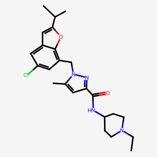 CCN1CCC(NC(=O)c2cc(C)n(Cc3cc(Cl)cc4cc(C(C)C)oc34)n2)CC1